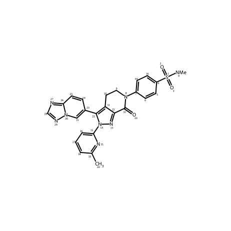 CNS(=O)(=O)c1ccc(N2CCc3c(nn(-c4cccc(C)n4)c3-c3ccc4ncnn4c3)C2=O)cc1